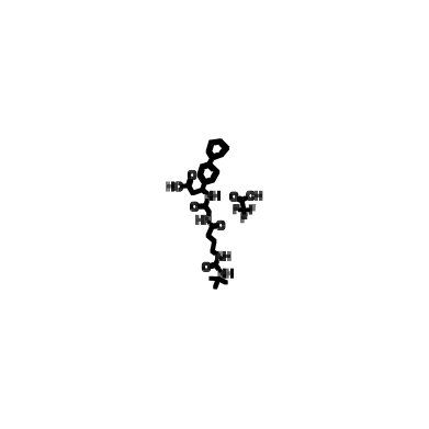 CC(C)(C)NC(=O)NCCCC(=O)NCC(=O)NC(CC(=O)O)c1ccc(-c2ccccc2)cc1.O=C(O)C(F)(F)F